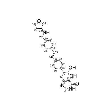 O=c1[nH]cnc(CC(CO)c2ccc(/C=C/c3ccc(CN[C@H]4CCOC4)cc3)cc2)c1O